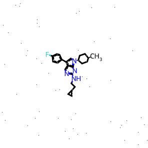 C[C@H]1CC[C@H](n2cc(-c3ccc(F)cc3)c3cnc(NCCC4CC4)nc32)CC1